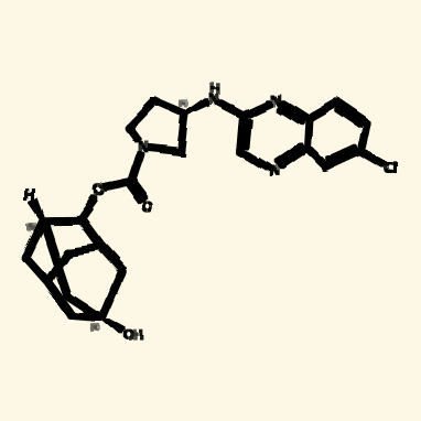 O=C(OC1C2CC3C[C@H]1C[C@@](O)(C3)C2)N1CC[C@@H](Nc2cnc3cc(Cl)ccc3n2)C1